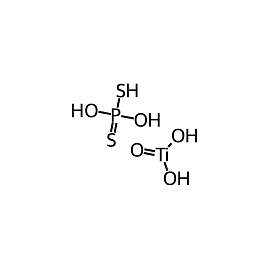 OP(O)(=S)S.[O]=[Ti]([OH])[OH]